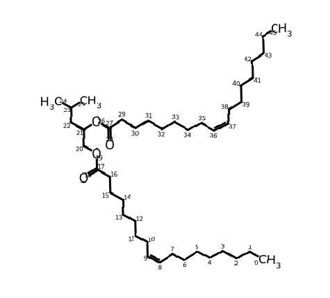 CCCCCCCC/C=C\CCCCCCCC(=O)OCC(CC(C)C)OC(=O)CCCCCCC/C=C\CCCCCCCC